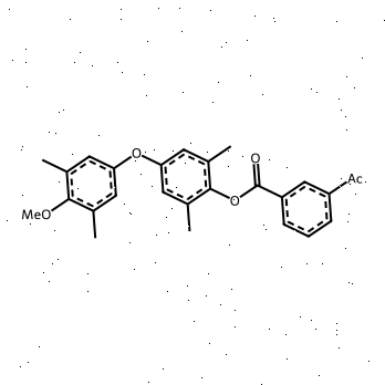 COc1c(C)cc(Oc2cc(C)c(OC(=O)c3cccc(C(C)=O)c3)c(C)c2)cc1C